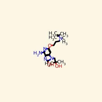 CN(CCCOc1cc2c(nc(O)n2CC(C)(C)O)c(N)n1)C(C)(C)C